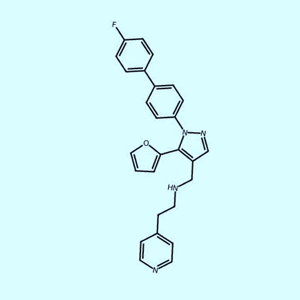 Fc1ccc(-c2ccc(-n3ncc(CNCCc4ccncc4)c3-c3ccco3)cc2)cc1